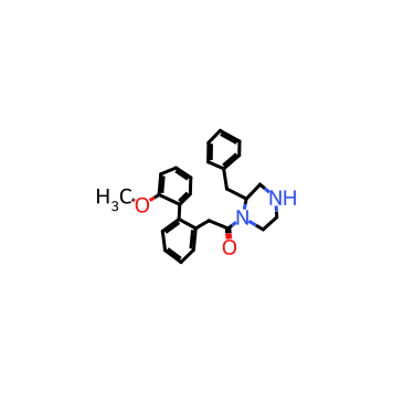 COc1ccccc1-c1ccccc1CC(=O)N1CCNCC1Cc1ccccc1